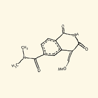 CO/C=C1/C(=O)NC(=O)c2ccc(C(=O)N(C)C)cc21